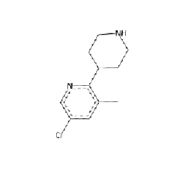 Cc1cc(Cl)cnc1C1CCNCC1